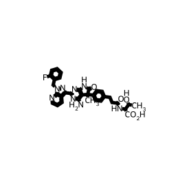 CC(O)C(NC(=O)CCc1ccc(C2(C)C(=O)Nc3nc(-c4nn(Cc5ccccc5F)c5ncccc45)nc(N)c32)cc1)C(=O)O